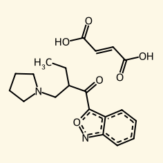 CCC(CN1CCCC1)C(=O)c1onc2ccccc12.O=C(O)C=CC(=O)O